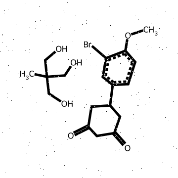 CC(CO)(CO)CO.COc1ccc(C2CC(=O)CC(=O)C2)cc1Br